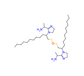 CCCCCCCCCCC(CSOSCC(CCCCCCCCCC)N1CCN=C1C(C)N)N1CCN=C1C(C)N